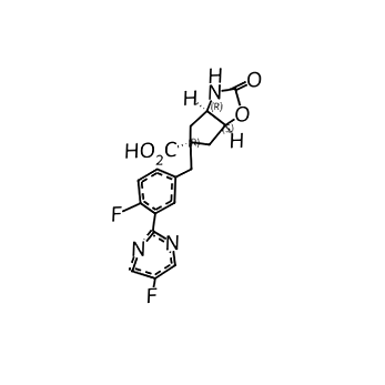 O=C1N[C@@H]2C[C@@](Cc3ccc(F)c(-c4ncc(F)cn4)c3)(C(=O)O)C[C@@H]2O1